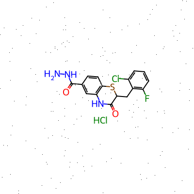 Cl.NNC(=O)c1ccc2c(c1)NC(=O)C(Cc1c(F)cccc1Cl)S2